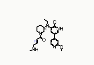 CCN(c1cc(-c2ccnc(OC)c2)c[nH]c1=O)[C@@H]1CCCN(C(=O)/C=C/CNC)C1